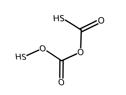 O=C(S)OC(=O)OS